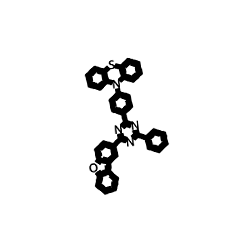 c1ccc(-c2nc(-c3ccc(N4c5ccccc5Sc5ccccc54)cc3)nc(-c3ccc4oc5ccccc5c4c3)n2)cc1